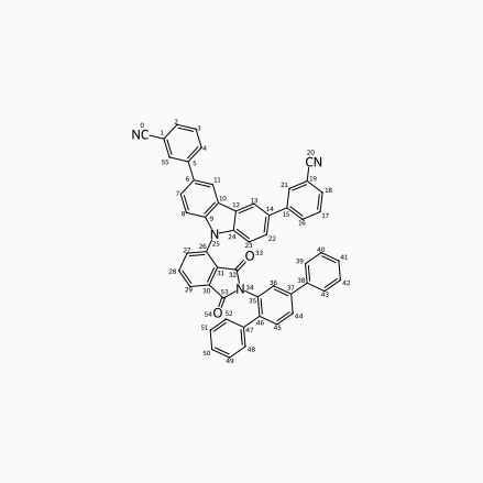 N#Cc1cccc(-c2ccc3c(c2)c2cc(-c4cccc(C#N)c4)ccc2n3-c2cccc3c2C(=O)N(c2cc(-c4ccccc4)ccc2-c2ccccc2)C3=O)c1